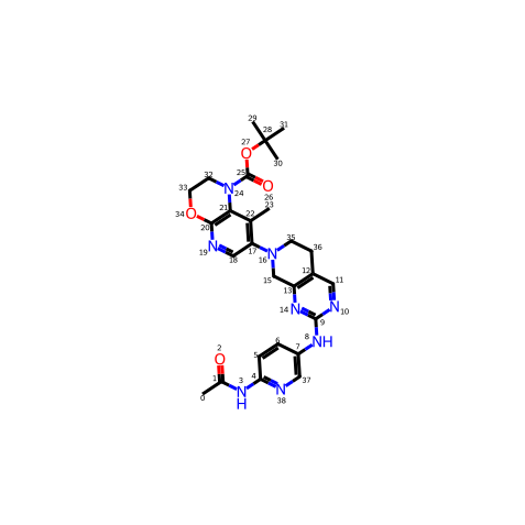 CC(=O)Nc1ccc(Nc2ncc3c(n2)CN(c2cnc4c(c2C)N(C(=O)OC(C)(C)C)CCO4)CC3)cn1